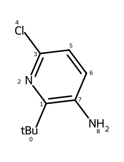 CC(C)(C)c1nc(Cl)ccc1N